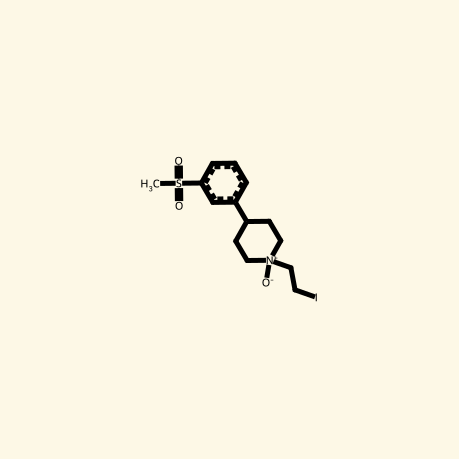 CS(=O)(=O)c1cccc(C2CC[N+]([O-])(CCI)CC2)c1